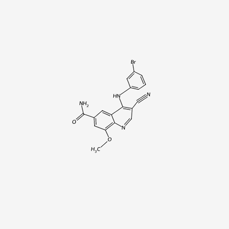 COc1cc(C(N)=O)cc2c(Nc3cccc(Br)c3)c(C#N)cnc12